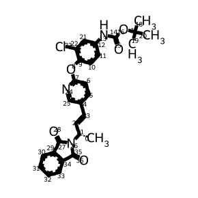 C[C@@H](/C=C/c1ccc(Oc2ccc(NC(=O)OC(C)(C)C)cc2Cl)nc1)N1C(=O)c2ccccc2C1=O